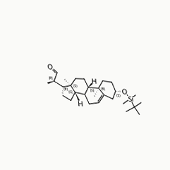 C[C@@H](C=O)[C@H]1CC[C@H]2C3CC=C4C[C@@H](O[Si](C)(C)C(C)(C)C)CC[C@]4(C)[C@H]3CC[C@]12C